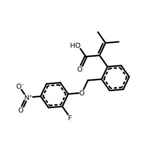 CC(C)=C(C(=O)O)c1ccccc1COc1ccc([N+](=O)[O-])cc1F